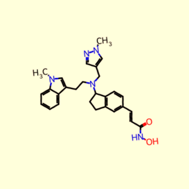 Cn1cc(CN(CCc2cn(C)c3ccccc23)C2CCc3cc(/C=C/C(=O)NO)ccc32)cn1